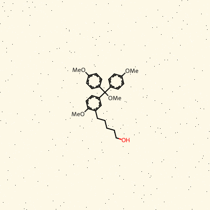 COc1ccc(C(OC)(c2ccc(OC)cc2)c2ccc(OC)c(CCCCCO)c2)cc1